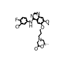 COc1cc2ncnc(Nc3ccc(F)c(Cl)c3)c2cc1OCCCN1CC(=O)O[C@@H](C)C1